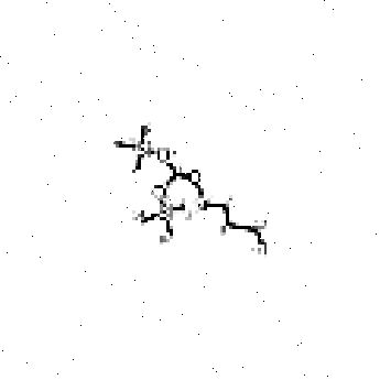 C[Si](C)(C)OC(O[SiH2]CCCI)O[Si](C)(C)C